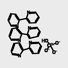 [O-][Cl+3]([O-])([O-])O.c1ccc(-c2ccccn2)nc1.c1ccc(-c2ccccn2)nc1.c1ccc(-c2ccccn2)nc1